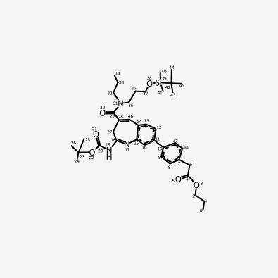 CCCOC(=O)Cc1ccc(-c2ccc3c(c2)N=C(NC(=O)OC(C)(C)C)CC(C(=O)N(CCC)CCCO[Si](C)(C)C(C)(C)C)=C3)cc1